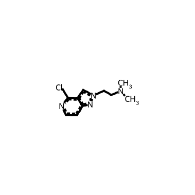 CN(C)CCn1cc2c(Cl)nccc2n1